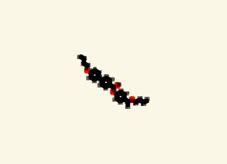 CCCCOc1ccc(-c2ccc(C(=O)Oc3ccc(C(C)OCCCC)cc3)cc2)cc1